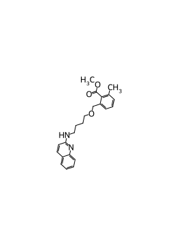 COC(=O)c1c(C)cccc1COCCCCNc1ccc2ccccc2n1